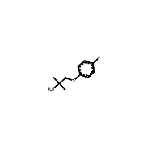 CC(C)(N)COc1ccc(F)cc1